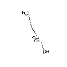 CCCCCCCCCCCCCCCCCCC(CCCCCCCCO)C(=O)O